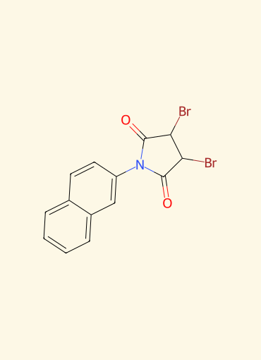 O=C1C(Br)C(Br)C(=O)N1c1ccc2ccccc2c1